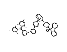 Cc1cc(C)c(B(c2cccc(-c3cccc(-c4ccc(C56CC7CC(C5)CC(c5ccc(P8(=O)c9ccccc9-c9ccccc98)cc5)(C7)C6)cc4)c3)c2)c2c(C)cc(C)cc2C)c(C)c1